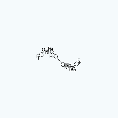 CC(C)(C)[C@H](NC(=O)C1CCC(F)(F)CC1)c1ncc(-c2ccc(C#Cc3ccc4nc([C@@H](NC(=O)C5CCC(F)(F)CC5)C(C)(C)C)[nH]c4c3)cc2)[nH]1